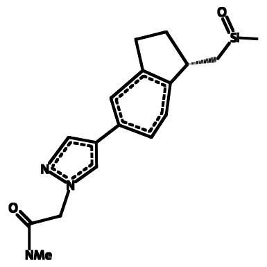 CNC(=O)Cn1cc(-c2ccc3c(c2)CC[C@@H]3C[Si](C)=O)cn1